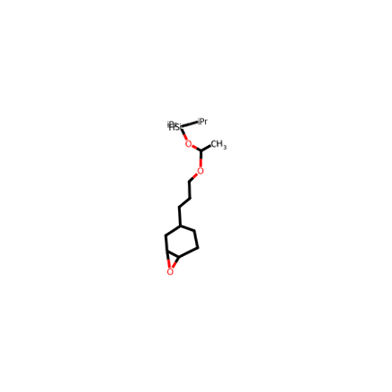 CC(OCCCC1CCC2OC2C1)O[SiH](C(C)C)C(C)C